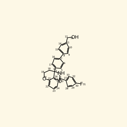 O=C(NC1(c2ccc(-c3ccc(CO)cc3)cc2)CCOc2cccnc21)c1ccc(F)cc1